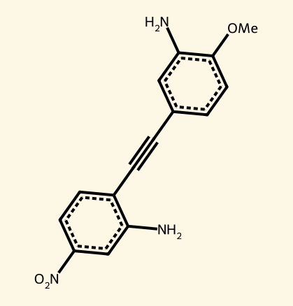 COc1ccc(C#Cc2ccc([N+](=O)[O-])cc2N)cc1N